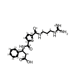 N=C(N)NCCCNC(=O)c1ccc(C(=O)NC(CC(=O)O)c2ccccc2)s1